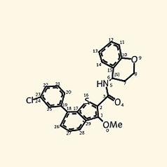 COc1c(C(=O)N[C@H]2CCOc3ccccc32)sc2c(-c3cccc(Cl)c3)cccc12